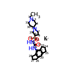 CCN1CCC(N2CCC(S(=O)(=O)NC(=O)Nc3c4c(cc5c3CCC5)CCC4)C2)CC1.[K]